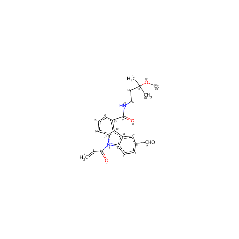 C=CC(=O)n1c2ccc(C=O)cc2c2c(C(=O)NCCC(C)(C)OCC)cccc21